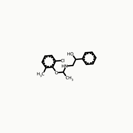 Cc1cccc(Cl)c1OC(C)NCC(O)c1ccccc1